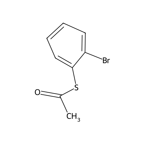 CC(=O)Sc1ccccc1Br